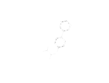 CC(C)C(C)Sc1ccc(-c2cncnc2)cc1